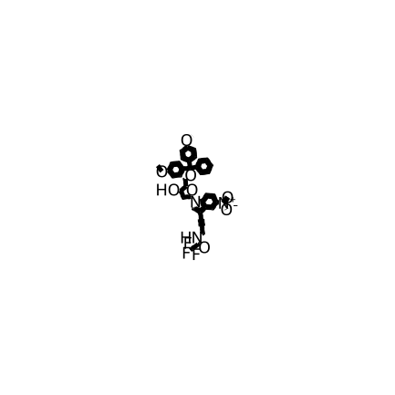 COc1ccc(C(OCC2OC(n3cc(C#CCNC(=O)C(F)(F)F)c4cc([N+](=O)[O-])ccc43)CC2O)(c2ccccc2)c2ccc(OC)cc2)cc1